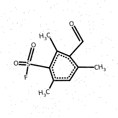 Cc1cc(C)c(S(=O)(=O)F)c(C)c1C=O